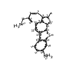 C=C(/C=C\c1c(C)sc2c1ccc1c3ccc(N)cc3sc12)CN